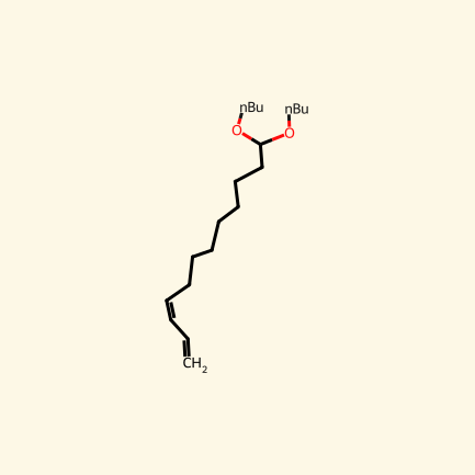 C=C/C=C\CCCCCCCC(OCCCC)OCCCC